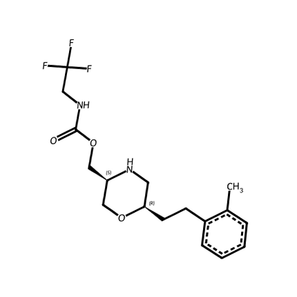 Cc1ccccc1CC[C@@H]1CN[C@H](COC(=O)NCC(F)(F)F)CO1